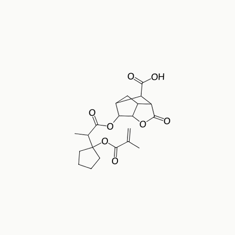 C=C(C)C(=O)OC1(C(C)C(=O)OC2C3CC4C2OC(=O)C4C3C(=O)O)CCCC1